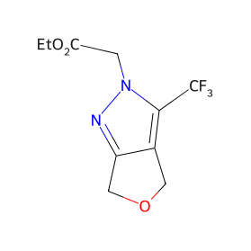 CCOC(=O)Cn1nc2c(c1C(F)(F)F)COC2